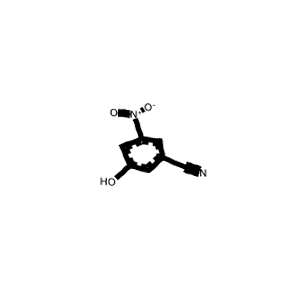 N#Cc1cc(O)cc([N+](=O)[O-])c1